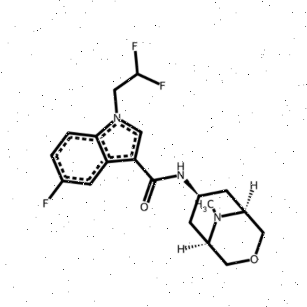 CN1[C@@H]2COC[C@H]1C[C@@H](NC(=O)c1cn(CC(F)F)c3ccc(F)cc13)C2